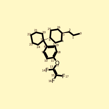 CCC[C@H]1CC[C@H](C2(c3ccc(OC(F)=C(F)F)cc3)CCCCC2)CC1